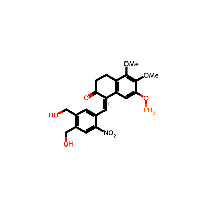 COc1c(OP)cc2c(c1OC)CCC(=O)/C2=C\c1cc(CO)c(CO)cc1[N+](=O)[O-]